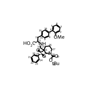 COc1ccccc1-c1ccc(C[C@H](NCC2(S(=O)(=O)c3ccccc3)CCCN(C(=O)OC(C)(C)C)C2)C(=O)O)cc1